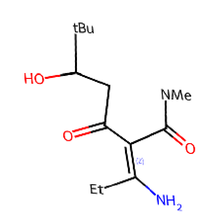 CC/C(N)=C(\C(=O)CC(O)C(C)(C)C)C(=O)NC